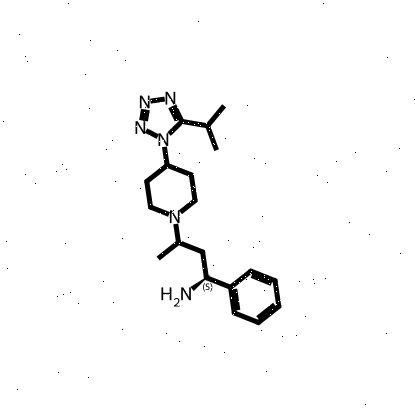 CC(C)c1nnnn1C1CCN(C(C)C[C@H](N)c2ccccc2)CC1